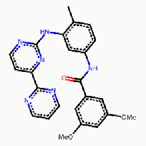 COc1cc(OC)cc(C(=O)Nc2ccc(C)c(Nc3nccc(-c4ncccn4)n3)c2)c1